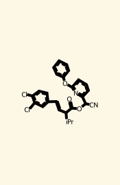 CC(C)C(/C=C/c1ccc(Cl)c(Cl)c1)C(=O)OC(C#N)c1cccc(Oc2ccccc2)n1